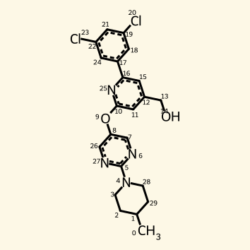 CC1CCN(c2ncc(Oc3cc(CO)cc(-c4cc(Cl)cc(Cl)c4)n3)cn2)CC1